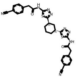 N#Cc1ccc(CC(=O)Nc2nnc([C@@H]3CCC[C@@H](c4nnc(NC(=O)Cc5ccc(C#N)cc5)s4)C3)s2)cc1